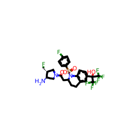 N[C@H]1CN(C(=O)CC2CCc3cc(C(O)(C(F)(F)F)C(F)(F)F)ccc3N2S(=O)(=O)c2ccc(F)cc2)C[C@H]1CF